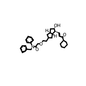 O=C(C=C[C@H]1[C@@H]2CC(CCOCC(=O)N(Cc3ccccc3)c3ccccc3)C[C@H]2C[C@@H]1O)C1CCCCC1